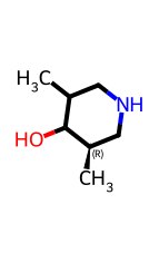 CC1CNC[C@@H](C)C1O